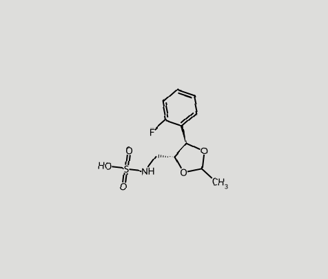 CC1O[C@H](c2ccccc2F)[C@@H](CNS(=O)(=O)O)O1